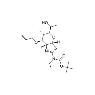 C=CCO[C@H]1[C@H](C)[C@@H](C(C)O)O[C@@H]2SC(N(CC)C(=O)OC(C)(C)C)=N[C@H]12